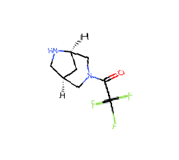 O=C(N1C[C@H]2CN[C@H](C2)C1)C(F)(F)F